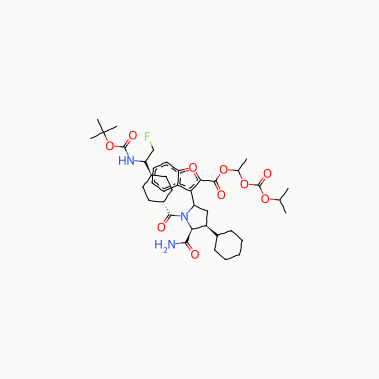 CC(C)OC(=O)OC(C)OC(=O)c1oc2ccccc2c1C1C[C@@H](C2CCCCC2)[C@@H](C(N)=O)N1C(=O)[C@H]1CC[C@H](C(CF)NC(=O)OC(C)(C)C)CC1